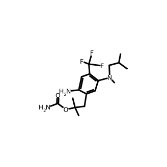 CC(C)CN(C)c1cc(CC(C)(C)OC(N)=O)c(N)cc1C(F)(F)F